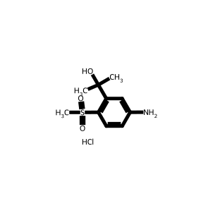 CC(C)(O)c1cc(N)ccc1S(C)(=O)=O.Cl